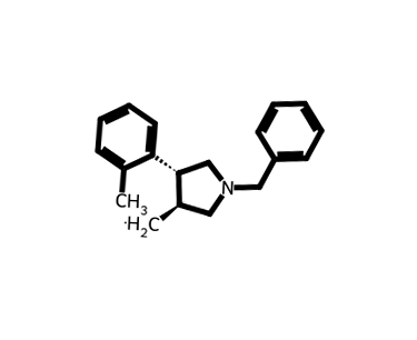 [CH2][C@@H]1CN(Cc2ccccc2)C[C@H]1c1ccccc1C